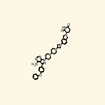 Nc1ncnc2c1c(-c1ccc(Oc3ccccc3)cc1)nn2C1CCN(C2CCN(C3CN(c4ccc5c(c4)CN(C4CCC(=O)NC4=O)C5)C3)CC2)CC1